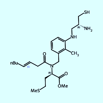 CCCC/C=C/CC(=O)N(Cc1cccc(NC[C@@H](N)CS)c1C)[C@H](CCSC)C(=O)OC